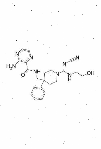 N#C/N=C(\NCCO)N1CCC(CNC(=O)c2nccnc2N)(c2ccccc2)CC1